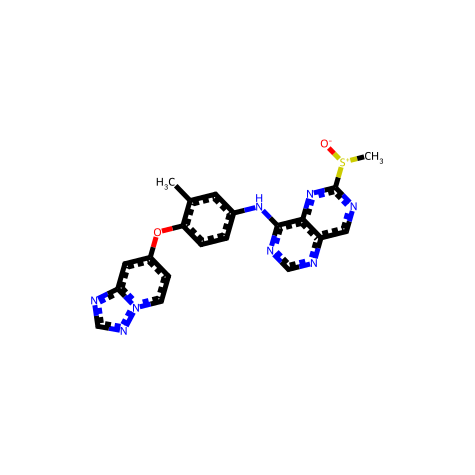 Cc1cc(Nc2ncnc3cnc([S+](C)[O-])nc23)ccc1Oc1ccn2ncnc2c1